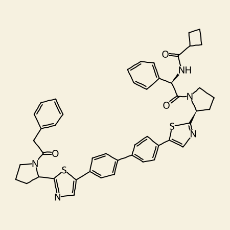 O=C(N[C@@H](C(=O)N1CCC[C@H]1c1ncc(-c2ccc(-c3ccc(-c4cnc(C5CCCN5C(=O)Cc5ccccc5)s4)cc3)cc2)s1)c1ccccc1)C1CCC1